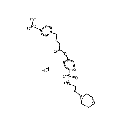 Cl.O=C(CCCc1ccc([N+](=O)[O-])cc1)Oc1ccc(S(=O)(=O)NCCN2CCOCC2)cc1